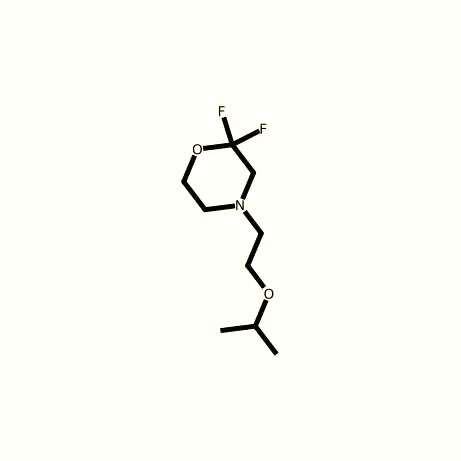 CC(C)OCCN1CCOC(F)(F)C1